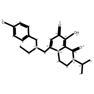 CCN(Cc1ccc(Cl)cc1)Cc1cc(=O)c(O)c2n1CCN(C(C)C)C2=O